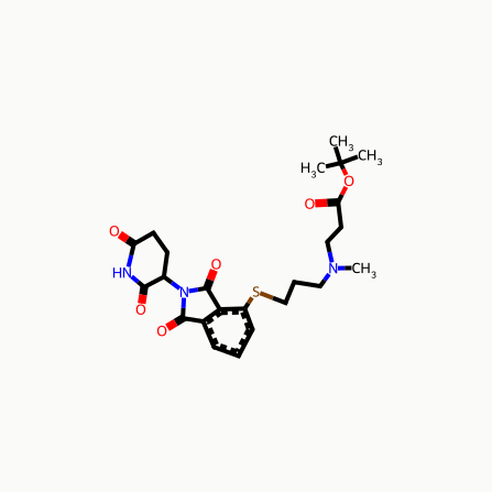 CN(CCCSc1cccc2c1C(=O)N(C1CCC(=O)NC1=O)C2=O)CCC(=O)OC(C)(C)C